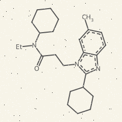 CCN(C(=O)CCn1c(C2CCCCC2)nc2ccc(C)cc21)C1CCCCC1